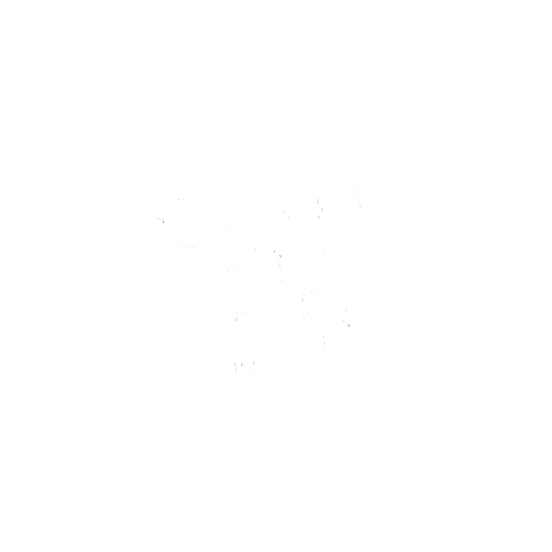 Cc1ccc(S(=O)(=O)n2c(-c3cc(C)nc(C)c3)c(C(C)C)c3cc4c(cc32)CCNC4)cc1.Cl